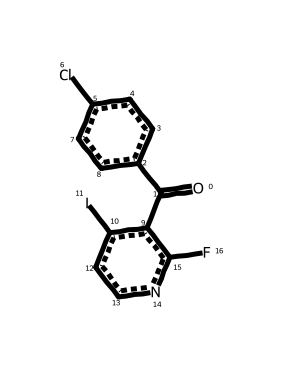 O=C(c1ccc(Cl)cc1)c1c(I)ccnc1F